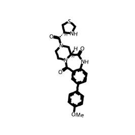 COc1ccc(-c2ccc3c(c2)C(=O)N2CCN(C(=O)[C@@H]4CSCN4)C[C@@H]2C(=O)N3)cc1